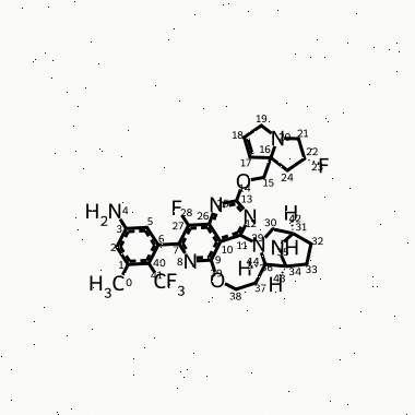 Cc1cc(N)cc(-c2nc3c4c(nc(OCC56C=CCN5C[C@H](F)C6)nc4c2F)N2C[C@H]4CC[C@H](N4)[C@H]2CCO3)c1C(F)(F)F